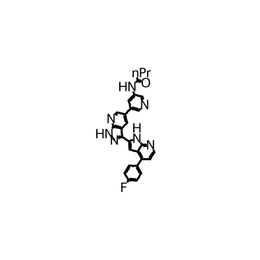 CCCC(=O)Nc1cncc(-c2cnc3[nH]nc(-c4cc5c(-c6ccc(F)cc6)ccnc5[nH]4)c3c2)c1